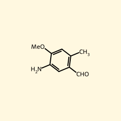 COc1cc(C)c(C=O)cc1N